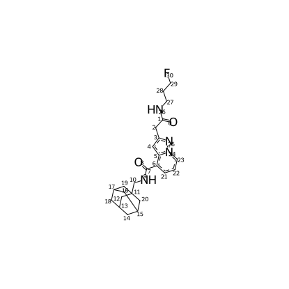 O=C(Cc1cc2c(C(=O)NCC34CC5CC(CC(C5)C3)C4)cccn2n1)NCCCF